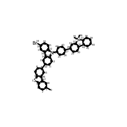 Cc1ccc2sc3ccc(-c4ccc5c(c4)c4cc(Br)ccc4n5-c4ccc(-c5ccc6c(c5)[Si](C)(C)c5ccccc5-6)cc4)cc3c2c1